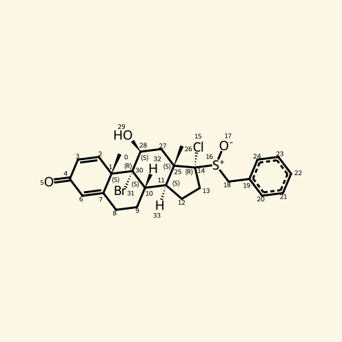 C[C@]12C=CC(=O)C=C1CC[C@H]1[C@@H]3CC[C@](Cl)([S+]([O-])Cc4ccccc4)[C@@]3(C)C[C@H](O)[C@@]12Br